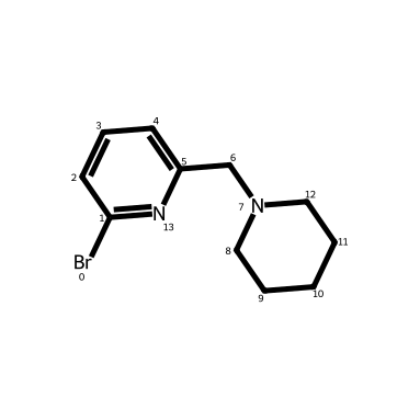 Brc1cccc(CN2CCCCC2)n1